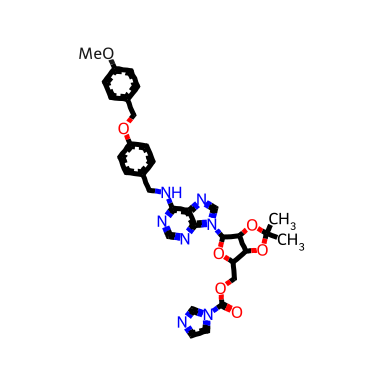 COc1ccc(COc2ccc(CNc3ncnc4c3ncn4C3OC(COC(=O)n4ccnc4)C4OC(C)(C)OC43)cc2)cc1